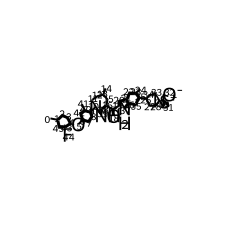 Cc1ccc(Oc2ccc(N3CCC(C)CC(C(=O)c4cc5cc(C)c(C6CCN([S+](C)[O-])CC6)cc5[nH]4)=C3N)c(C)c2)c(F)c1